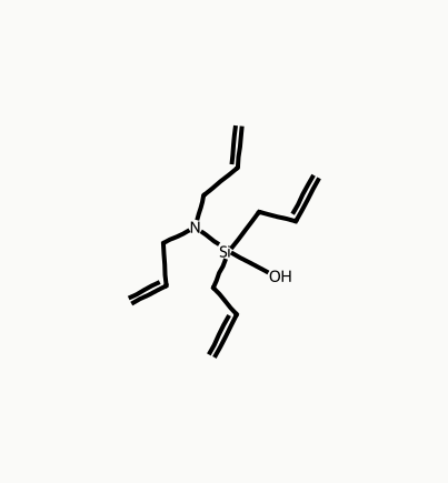 C=CCN(CC=C)[Si](O)(CC=C)CC=C